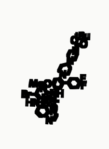 COc1cc(N2CCC(N3CCN(C(=O)OC(C)(C)C)CC3)CC2)c(C2CCC(F)(F)CC2)cc1Nc1ncc(Br)c(Nc2ccc3nccnc3c2NS(C)(=O)=O)n1